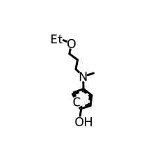 CCOCCCN(C)c1ccc(O)cc1